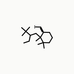 CCC(CC1(C)/C(=C\I)CCCC1(C)C)C(C)(C)C